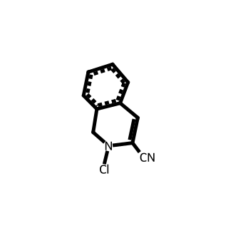 N#CC1=Cc2ccccc2CN1Cl